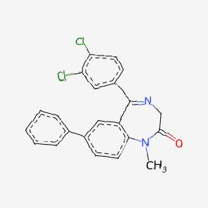 CN1C(=O)CN=C(c2ccc(Cl)c(Cl)c2)c2cc(-c3ccccc3)ccc21